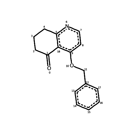 O=C1CCCc2nccc(OCc3ccccc3)c21